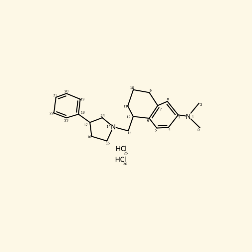 CN(C)c1ccc2c(c1)CCCC2CN1CCC(c2ccccc2)C1.Cl.Cl